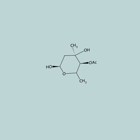 CC(=O)O[C@H]1C(C)O[C@@H](O)C[C@@]1(C)O